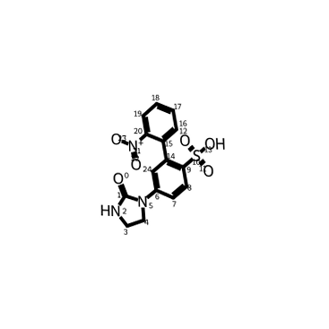 O=C1NCCN1c1ccc(S(=O)(=O)O)c(-c2ccccc2[N+](=O)[O-])c1